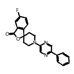 O=C1OC2(CCN(c3cnc(-c4ccccc4)cn3)CC2)c2ccc(F)cc21